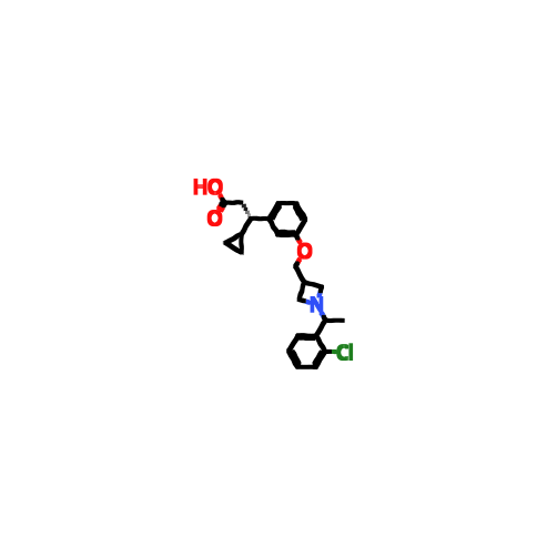 CC(c1ccccc1Cl)N1CC(COc2cccc([C@@H](CC(=O)O)C3CC3)c2)C1